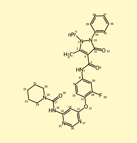 CCCn1c(C)c(C(=O)Nc2ccc(Oc3cc(NC(=O)N4CCCCC4)ncn3)c(F)c2)c(=O)n1-c1ccccc1